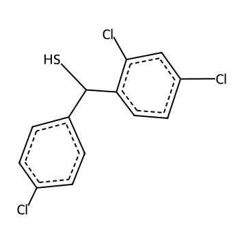 SC(c1ccc(Cl)cc1)c1ccc(Cl)cc1Cl